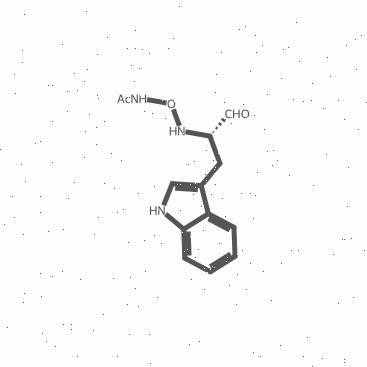 CC(=O)NON[C@H](C=O)Cc1c[nH]c2ccccc12